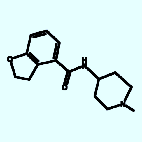 CN1CCC(NC(=O)c2cccc3c2CCO3)CC1